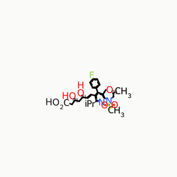 CC(C)c1nc2c(c(-c3ccc(F)cc3)c1C=C[C@@H](O)C[C@@H](O)CC(=O)O)CO[C@@H](C)CN2S(C)(=O)=O